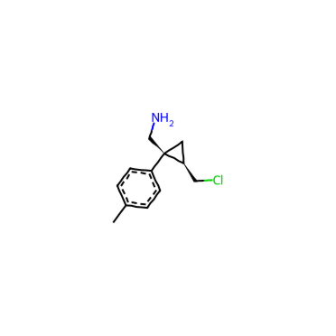 Cc1ccc([C@]2(CN)C[C@H]2CCl)cc1